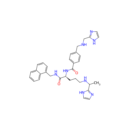 CC(NCCC[C@H](NC(=O)c1ccc(CNCc2ncc[nH]2)cc1)C(=O)NCc1cccc2ccccc12)c1ncc[nH]1